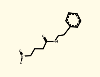 O=C(CCC[N+](=O)[O-])NCCc1ccccc1